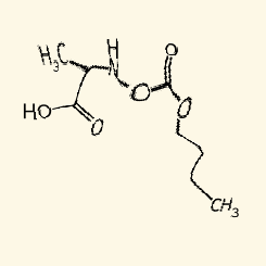 CCCCOC(=O)ONC(C)C(=O)O